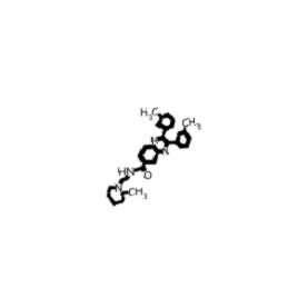 Cc1cccc(-c2nc3ccc(C(=O)NCCN4CCCCC4C)cc3nc2-c2cccc(C)c2)c1